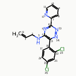 C=CCNc1nc(-c2ccccn2)nnc1-c1ccc(Cl)cc1Cl